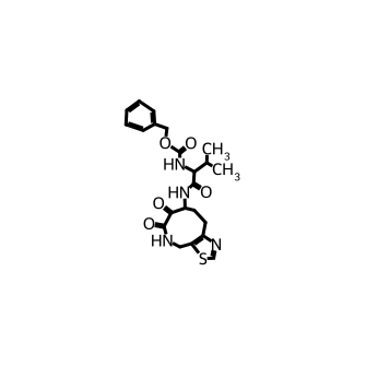 CC(C)C(NC(=O)OCc1ccccc1)C(=O)NC1CCc2ncsc2CNC(=O)C1=O